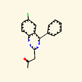 COC(=O)Cc1nc(-c2ccccc2)c2cc(Cl)ccc2n1